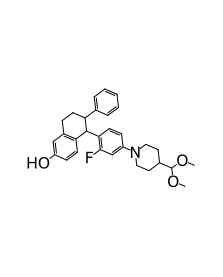 COC(OC)C1CCN(c2ccc(C3c4ccc(O)cc4CCC3c3ccccc3)c(F)c2)CC1